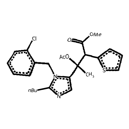 CCCCc1ncc(C(C)(OC(C)=O)C(C(=O)OC)c2cccs2)n1Cc1ccccc1Cl